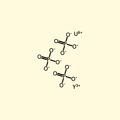 O=P([O-])([O-])[O-].O=P([O-])([O-])[O-].O=P([O-])([O-])[O-].[U+6].[Y+3]